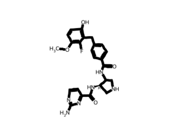 COc1ccc(O)c(Cc2ccc(C(=O)NC3CNC[C@H]3NC(=O)c3ccnc(N)n3)cc2)c1F